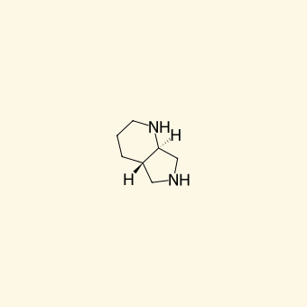 C1CN[C@H]2CNC[C@@H]2C1